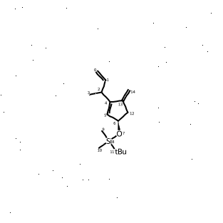 C=CC(C)C1=C[C@H](O[Si](C)(C)C(C)(C)C)CC1=C